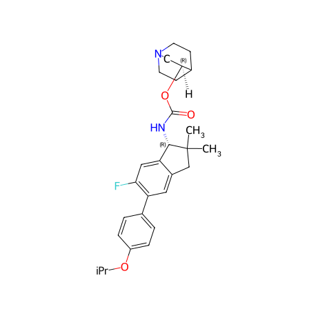 CC(C)Oc1ccc(-c2cc3c(cc2F)[C@H](NC(=O)O[C@H]2CN4CCC2CC4)C(C)(C)C3)cc1